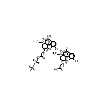 CCO[C@@]12CC[C@H](NCC(=O)O)[C@@H]3Oc4c(O)ccc5c4[C@@]31CCN(C)[C@@H]2C5.CCO[C@@]12CC[C@H](NCC(=O)O)[C@@H]3Oc4c(O)ccc5c4[C@@]31CCN(C)[C@@H]2C5.F[B-](F)(F)F.F[B-](F)(F)F